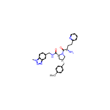 COc1ccc(C[C@@H]2C[C@@H](C(=O)NCc3ccc4c(c3)nnn4C)N(C(=O)[C@H](N)CCc3ccccn3)C2)cc1